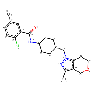 Cc1nn(C[C@H]2CC[C@H](NC(=O)c3cc(C(F)(F)F)ccc3Cl)CC2)c2c1COCC2